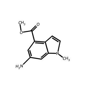 COC(=O)c1cc(N)cc2c1ccn2C